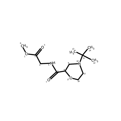 COC(=O)CNC(=O)C1CN(C(C)(C)C)CCO1